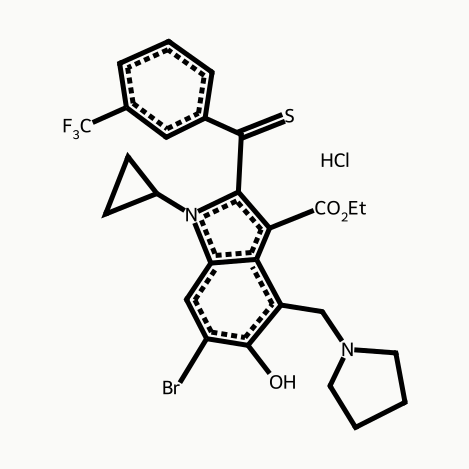 CCOC(=O)c1c(C(=S)c2cccc(C(F)(F)F)c2)n(C2CC2)c2cc(Br)c(O)c(CN3CCCC3)c12.Cl